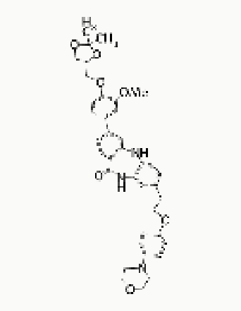 COc1cc(-c2ccc3c(c2)Nc2ccc(CCOc4ccc(N5CCOCC5)cc4)cc2NC3=O)ccc1OCC1COC(C)(C)O1